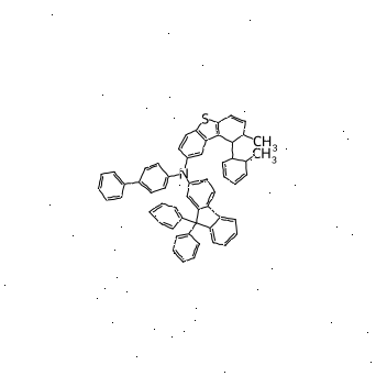 CC1C=CC=CC1C1c2c(sc3ccc(N(c4ccc(-c5ccccc5)cc4)c4ccc5c(c4)C(c4ccccc4)(c4ccccc4)c4ccccc4-5)cc23)C=CC1C